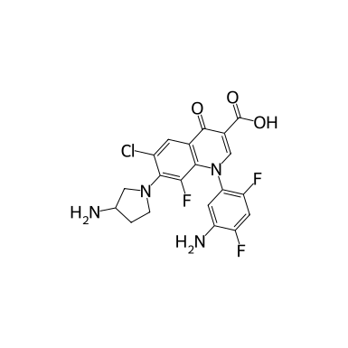 Nc1cc(-n2cc(C(=O)O)c(=O)c3cc(Cl)c(N4CCC(N)C4)c(F)c32)c(F)cc1F